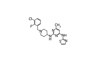 Cc1cc(Nc2nccs2)nc(NC2CCN(Cc3cccc(Cl)c3F)CC2)n1